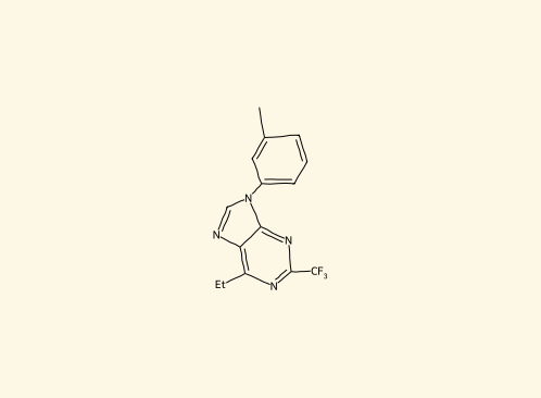 CCc1nc(C(F)(F)F)nc2c1ncn2-c1cccc(C)c1